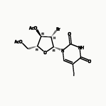 CC(=O)OC[C@H]1O[C@@H](n2cc(I)c(=O)[nH]c2=O)[C@@H](Br)[C@@H]1OC(C)=O